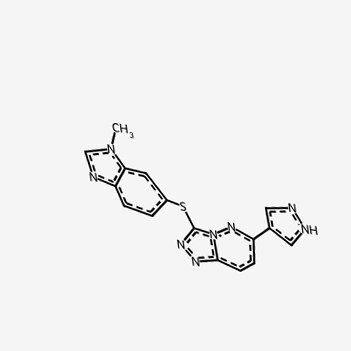 Cn1cnc2ccc(Sc3nnc4ccc(-c5cn[nH]c5)nn34)cc21